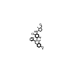 COc1ccc(CN(Sc2cc(Cl)c(N[C@@H]3CCN(C=O)[C@@H]3C)cc2F)c2cscn2)c(OC)c1